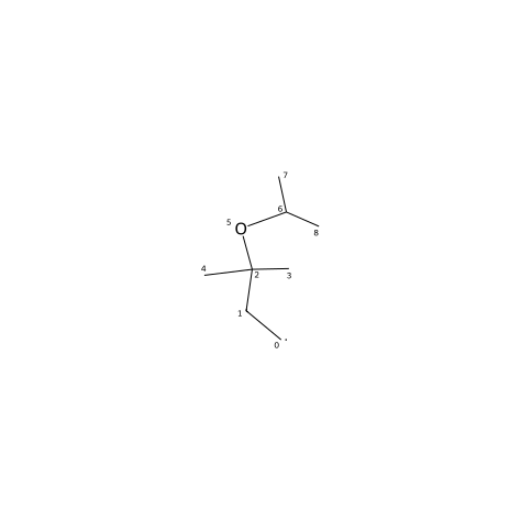 [CH2]CC(C)(C)OC(C)C